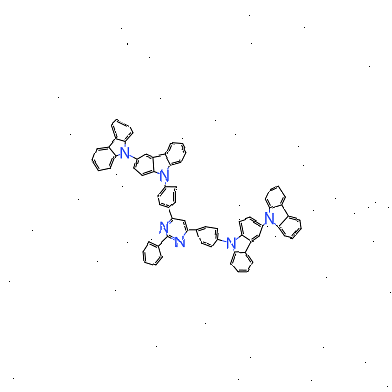 c1ccc(-c2nc(-c3ccc(-n4c5ccccc5c5cc(-n6c7ccccc7c7ccccc76)ccc54)cc3)cc(-c3ccc(-n4c5ccccc5c5cc(-n6c7ccccc7c7ccccc76)ccc54)cc3)n2)cc1